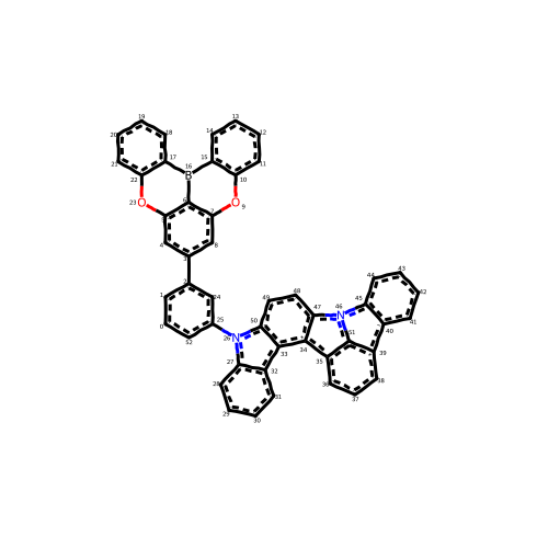 c1cc(-c2cc3c4c(c2)Oc2ccccc2B4c2ccccc2O3)cc(-n2c3ccccc3c3c4c5cccc6c7ccccc7n(c4ccc32)c65)c1